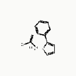 C=C(CC)C(=O)O.c1ccc(-c2cccs2)cc1